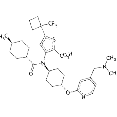 CN(C)Cc1ccnc(O[C@H]2CC[C@H](N(c3cc(C4(C(F)(F)F)CCC4)sc3C(=O)O)C(=O)[C@H]3CC[C@H](C)CC3)CC2)c1